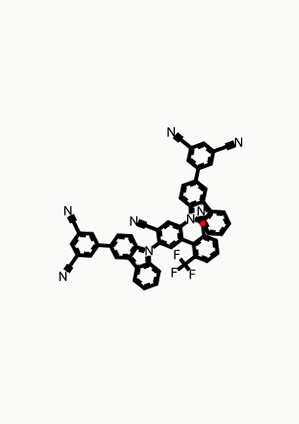 N#Cc1cc(C#N)cc(-c2ccc3c(c2)c2ccccc2n3-c2cc(-c3c(C#N)cccc3C(F)(F)F)c(-n3c4ccccc4c4cc(-c5cc(C#N)cc(C#N)c5)ccc43)cc2C#N)c1